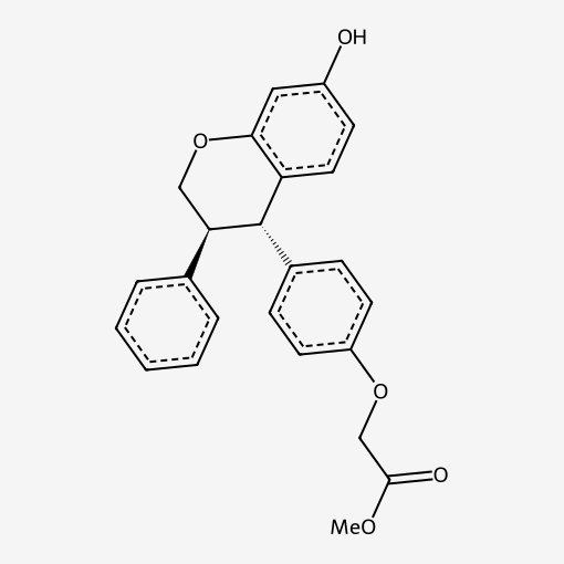 COC(=O)COc1ccc([C@H]2c3ccc(O)cc3OC[C@@H]2c2ccccc2)cc1